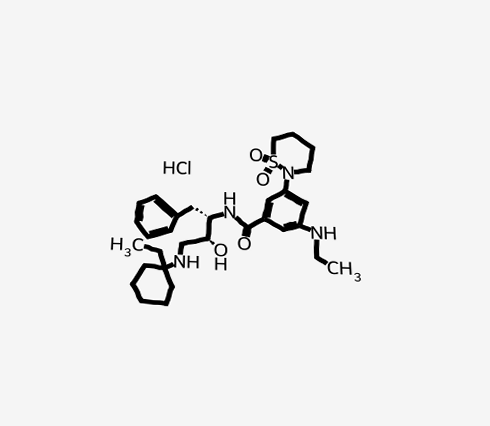 CCNc1cc(C(=O)N[C@@H](Cc2ccccc2)[C@H](O)CNC2(CC)CCCCC2)cc(N2CCCCS2(=O)=O)c1.Cl